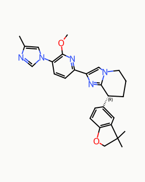 COc1nc(-c2cn3c(n2)[C@@H](c2ccc4c(c2)C(C)(C)CO4)CCC3)ccc1-n1cnc(C)c1